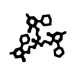 Cc1cc(C2CCCCC2)n(OCOP(=O)(OCOn2c(C3CCCCC3)cc(C)cc2=O)OCOn2c(C3CCCCC3)cc(C)cc2=O)c(=O)c1